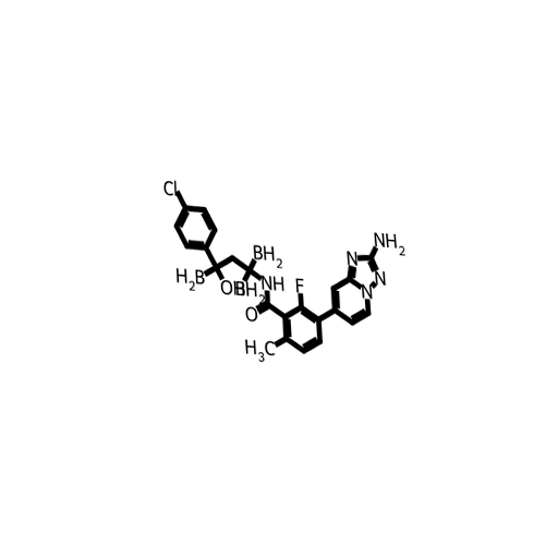 BC(B)(CC(B)(O)c1ccc(Cl)cc1)NC(=O)c1c(C)ccc(-c2ccn3nc(N)nc3c2)c1F